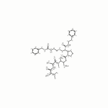 CCC(C)C(C(CC(=O)N1CCCC1C(CSCCNC(=O)OCc1ccccc1)C(=O)NCCc1ccccc1)OC)N(C)C(=O)C(NC(=O)C(C(C)C)N(C)C)C(C)C